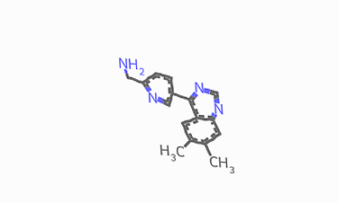 Cc1cc2ncnc(-c3ccc(CN)nc3)c2cc1C